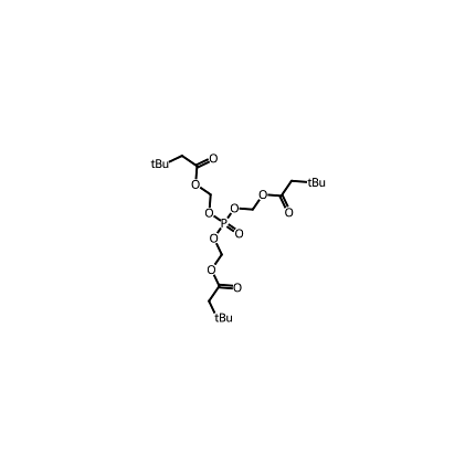 CC(C)(C)CC(=O)OCOP(=O)(OCOC(=O)CC(C)(C)C)OCOC(=O)CC(C)(C)C